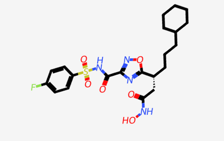 O=C(C[C@@H](CCCC1CCCCC1)c1nc(C(=O)NS(=O)(=O)c2ccc(F)cc2)no1)NO